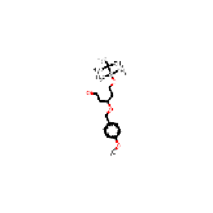 COc1ccc(COC(CC=O)CCO[Si](C)(C)C(C)(C)C)cc1